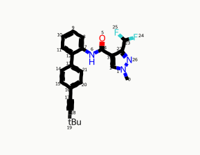 Cn1cc(C(=O)Nc2ccccc2-c2ccc(C#CC(C)(C)C)cc2)c(C(F)F)n1